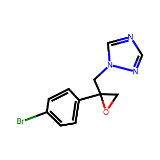 Brc1ccc(C2(Cn3cncn3)CO2)cc1